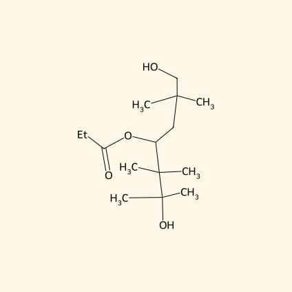 CCC(=O)OC(CC(C)(C)CO)C(C)(C)C(C)(C)O